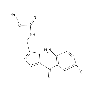 CC(C)(C)OC(=O)NCc1ccc(C(=O)c2cc(Cl)ccc2N)s1